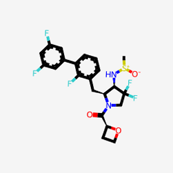 C[S+]([O-])N[C@@H]1[C@H](Cc2cccc(-c3cc(F)cc(F)c3)c2F)N(C(=O)[C@@H]2CCO2)CC1(F)F